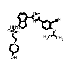 CC(C)Oc1ccc(-c2nc(-c3cccc4c3CC[C@H]4NS(=O)(=O)CCN3CCC(O)CC3)no2)cc1C#N